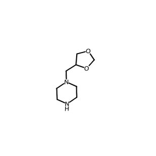 C1CN(CC2COCO2)CCN1